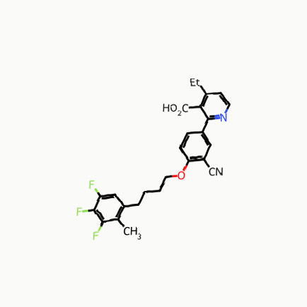 CCc1ccnc(-c2ccc(OCCCCc3cc(F)c(F)c(F)c3C)c(C#N)c2)c1C(=O)O